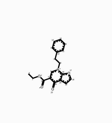 CCOC(=O)c1cn(CCc2ccccc2)c2occc2c1=O